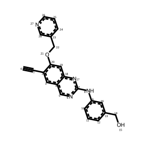 C#Cc1cc2cnc(Nc3cccc(CO)c3)nc2cc1OCc1cccnc1